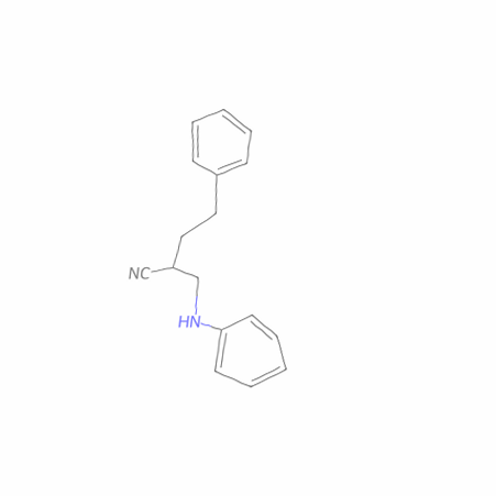 N#CC(CCc1ccccc1)CNc1ccccc1